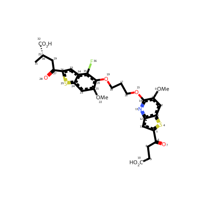 COc1cc2sc(C(=O)CCC(=O)O)cc2nc1OCCCOc1c(OC)cc2sc(C(=O)C[C@H](C)C(=O)O)cc2c1F